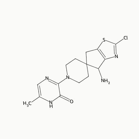 Cc1cnc(N2CCC3(CC2)Cc2sc(Cl)nc2C3N)c(=O)[nH]1